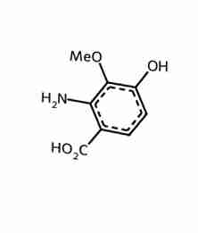 COc1c(O)ccc(C(=O)O)c1N